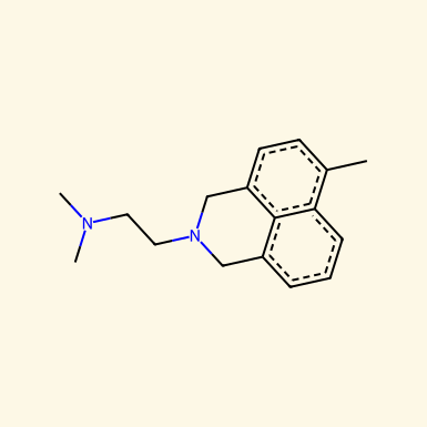 Cc1ccc2c3c(cccc13)CN(CCN(C)C)C2